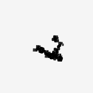 CCCOC(=O)CN[C@@](C)(C(=O)N1CCCC1)c1ccc2[nH]c(CNc3ccc(C(=N)N)cc3)nc2c1C.O=S(=O)(O)O